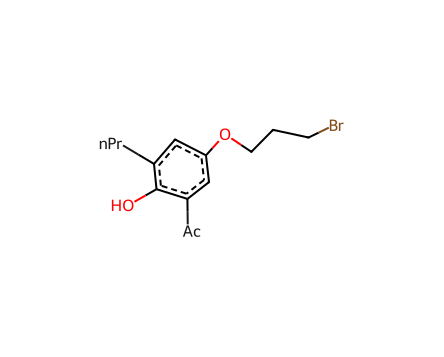 CCCc1cc(OCCCBr)cc(C(C)=O)c1O